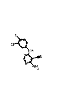 N#Cc1c(N)ncnc1Nc1ccc(F)c(Cl)c1